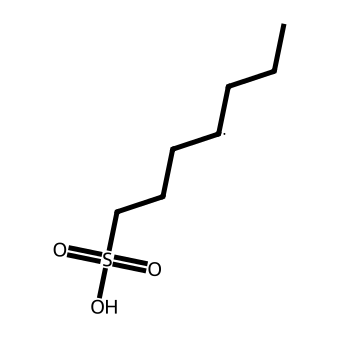 CCC[CH]CCCS(=O)(=O)O